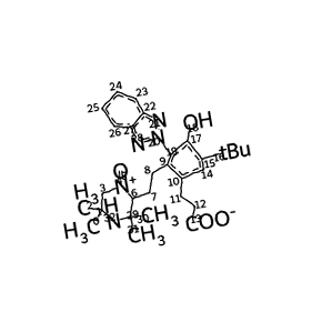 CC1(C)C[N+](=O)C(CCc2c(CCC(=O)[O-])cc(C(C)(C)C)c(O)c2-n2nc3ccccc3n2)C(C)(C)N1